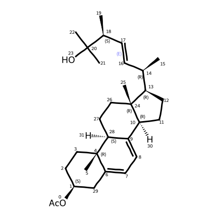 CC(=O)O[C@H]1CC[C@@]2(C)C(=CC=C3[C@@H]4CC[C@H]([C@H](C)/C=C/[C@H](C)C(C)(C)O)[C@@]4(C)CC[C@@H]32)C1